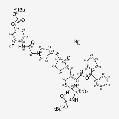 CC(C)(C)OC(=O)N[C@@H]1C(=O)N2C(C(=O)OC(c3ccccc3)c3ccccc3)=C(C=C3CCN(Cc4cc[n+](CC(=O)Nc5ccc(OC(=O)OC(C)(C)C)cc5F)cc4)C3=O)CS[C@H]12.[Br-]